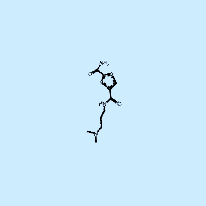 CN(C)CCCNC(=O)c1csc(C(N)=O)n1